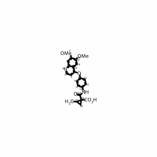 COc1cc2nccc(Oc3ccc(NC(=O)C4(C(=O)O)CC4C)cc3)c2cc1OC